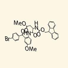 COC(=O)CC(NC(=O)OCC1c2ccccc2-c2ccccc21)C(=O)Nc1ccc(OC)cc1C(=O)c1ccc(Br)cc1